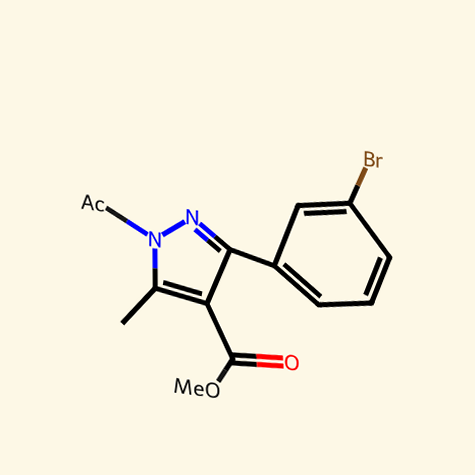 COC(=O)c1c(-c2cccc(Br)c2)nn(C(C)=O)c1C